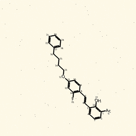 CC(=O)c1cccc(C=Cc2ccc(OCCCCc3ccccc3)cc2F)c1O